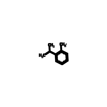 [CH2]c1ccccc1C(C)C